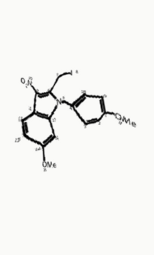 COc1ccc(-n2c(CI)c([N+](=O)[O-])c3ccc(OC)cc32)cc1